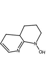 ON1CCCC2CC=CN=C21